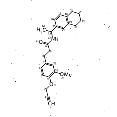 C#CCOc1ccc(CCC(=O)NC(C)c2ccc3c(c2)CCCC3)cc1OC